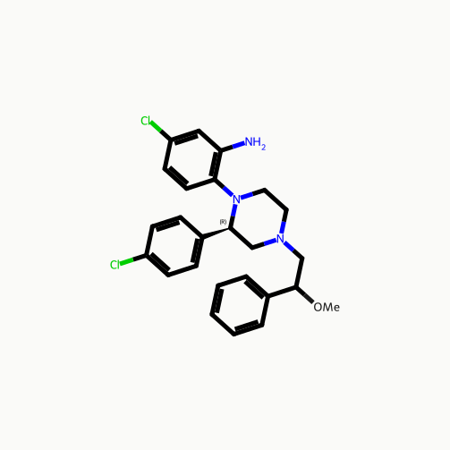 COC(CN1CCN(c2ccc(Cl)cc2N)[C@H](c2ccc(Cl)cc2)C1)c1ccccc1